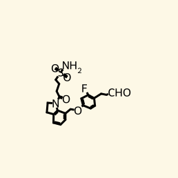 NS(=O)(=O)CCCC(=O)N1CCc2cccc(COc3ccc(CCC=O)c(F)c3)c21